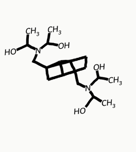 CC(O)N(CC12C3C4C1C1C2C3C41CN(C(C)O)C(C)O)C(C)O